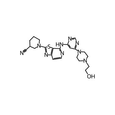 N#CC1CCCN(c2nc3ccnc(Nc4cc(N5CCN(CCO)CC5)ncn4)c3s2)C1